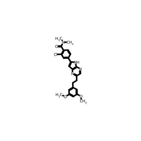 COc1cc(CCc2cnc3[nH]c(-c4ccc(C(=O)N(C)C)c(Cl)c4)cc3n2)cc(OC)c1